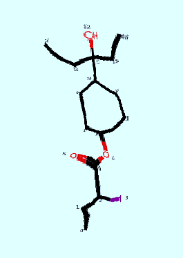 CCC(I)C(=O)OC1CCC(C(O)(CC)CC)CC1